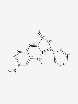 COc1ccc(/C=C2\N=C(c3ccccc3)OC2=O)c(OC)c1